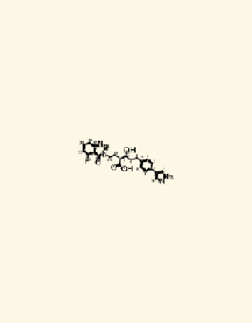 Cn1cc(-c2ccc(CC[C@@H](O)[C@H](CCn3nnc4cccc(F)c4c3=O)C(=O)O)cc2)cn1